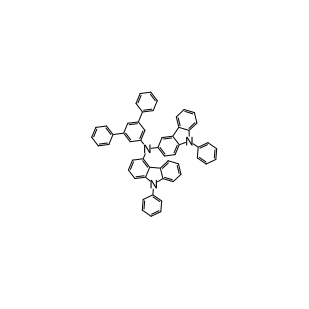 c1ccc(-c2cc(-c3ccccc3)cc(N(c3ccc4c(c3)c3ccccc3n4-c3ccccc3)c3cccc4c3c3ccccc3n4-c3ccccc3)c2)cc1